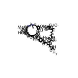 COc1cc2cc(c1Cl)N(C)C(=O)C[C@H](OC(=O)Nc1ccc(NC(=O)[C@H](CCCNC(N)=O)NC(=O)[C@@H](NC(=O)CCCCC(C)(C)OC(C=O)(CBr)CBr)C(C)C)cc1C)[C@]1(C)O[C@H]1[C@H](C)[C@@H]1C[C@@](O)(NC(O)O1)[C@H](OC)/C=C/C=C(\C)C2